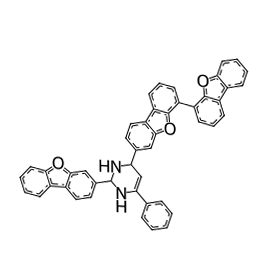 C1=C(c2ccccc2)NC(c2ccc3c(c2)oc2ccccc23)NC1c1ccc2c(c1)oc1c(-c3cccc4c3oc3ccccc34)cccc12